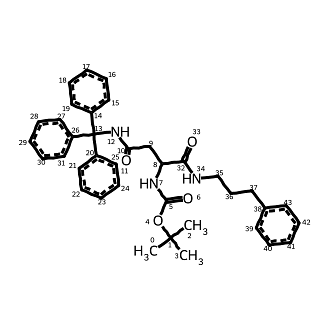 CC(C)(C)OC(=O)NC(CC(=O)NC(c1ccccc1)(c1ccccc1)c1ccccc1)C(=O)NCCCc1ccccc1